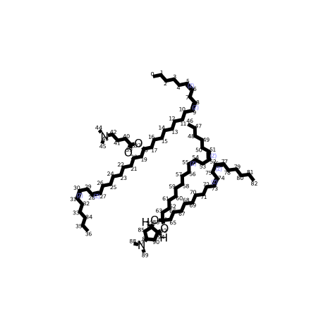 CCCCC/C=C\C/C=C\CCCCCCCCC(CCCCCCCC/C=C\C/C=C\CCCCC)OC(=O)CCCN(C)C.CCCCC/C=C\C/C=C\CCCCCCCCC1(CCCCCCCC/C=C\C/C=C\CCCCC)O[C@H]2CC(N(C)C)C[C@H]2O1